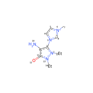 CCn1c(-n2cc[n+](C)c2)c(N)c(=O)n1CC